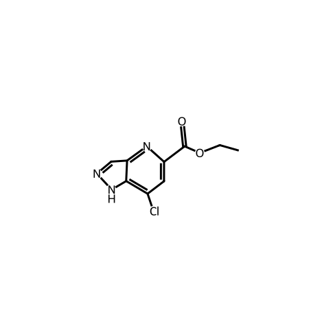 CCOC(=O)c1cc(Cl)c2[nH]ncc2n1